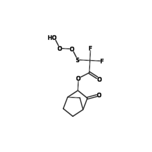 O=C1C2CCC(C2)C1OC(=O)C(F)(F)SOOO